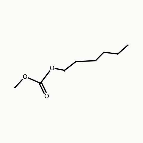 CCCCC[CH]OC(=O)OC